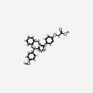 COC(=O)COc1ccc(-c2nnc(C(C)c3ccc(OC)cc3)n2Cc2ccccc2)cc1